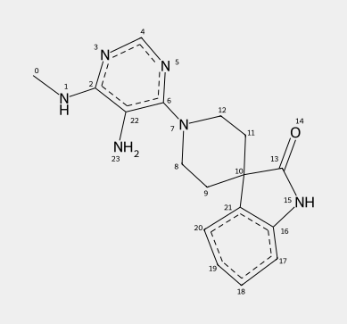 CNc1ncnc(N2CCC3(CC2)C(=O)Nc2ccccc23)c1N